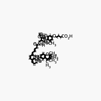 Cc1cc(OCCCC(=O)O)cc(C)c1S(=O)(=O)NC(CNC(=O)CCCCc1ccc2c(n1)N(S(=O)(=O)c1ccc3c(c1)C(C)C(C)(C)C(C)(C)O3)CCC2)C(=O)OC(C)(C)C